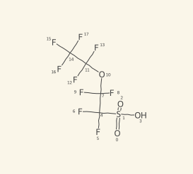 O=S(=O)(O)C(F)(F)C(F)(F)OC(F)(F)C(F)(F)F